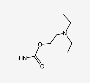 CCN(CC)CCOC([NH])=O